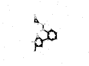 Cc1cc(-c2ccccc2OC[C@@H]2CO2)on1